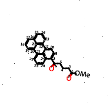 COC(=O)CCCC(=O)c1ccc2c3cccc4cccc(c5cccc1c52)c43